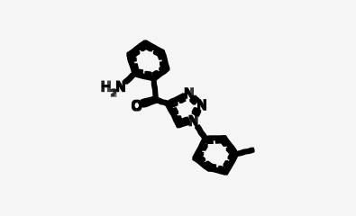 Cc1cccc(-n2cc(C(=O)c3ccccc3N)nn2)c1